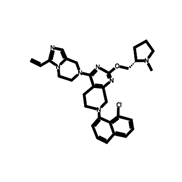 C=Cc1ncc2n1CCN(c1nc(OC[C@@H]3CCCN3C)nc3c1CCN(c1cccc4cccc(Cl)c14)C3)C2